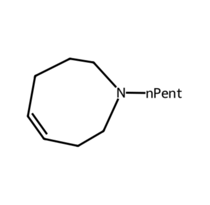 CCCCCN1CC/C=C\CCC1